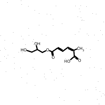 CC(=CC=CC(=O)OCC(O)CO)C(=O)O